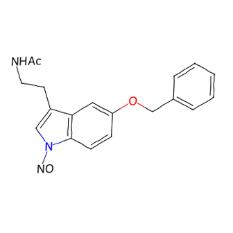 CC(=O)NCCc1cn(N=O)c2ccc(OCc3ccccc3)cc12